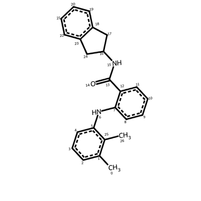 Cc1cccc(Nc2ccccc2C(=O)NC2Cc3ccccc3C2)c1C